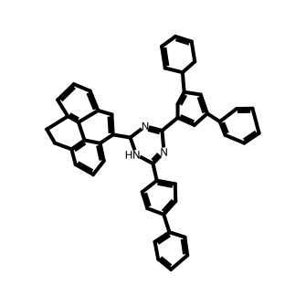 C1=CCC(c2cc(C3=NC(c4cc5cccc6c5c5c(cccc45)CC6)NC(c4ccc(-c5ccccc5)cc4)=N3)cc(-c3ccccc3)c2)C=C1